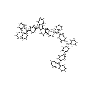 c1ccc(N(c2ccccc2)c2ccc(-c3ccc(N(c4ccccc4)c4ccc(-n5c6ccccc6c6c7oc8c(ccc9c8c8ccccc8n9-c8ccc(N(c9ccccc9)c9cccc%10ccccc9%10)cc8)c7ccc65)cc4)cc3)cc2)cc1